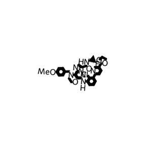 COc1ccc(CN2CCOc3c(Nc4cccc(-c5ccc(C6OCCO6)cn5)c4Cl)nn4c(C(=O)N[C@@H]5C[C@@H]5F)cnc4c32)cc1